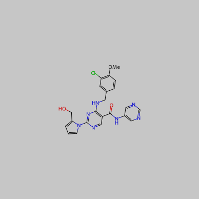 COc1ccc(CNc2nc(-n3cccc3CO)ncc2C(=O)Nc2cncnc2)cc1Cl